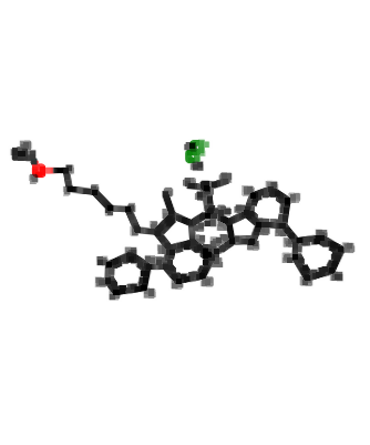 CC1=C(CCCCCCOC(C)(C)C)c2c(-c3ccccc3)cccc2[CH]1[Zr+2]([CH]1C(C(C)C)=Cc2c(-c3ccccc3)cccc21)=[Si](C)C.[Cl-].[Cl-]